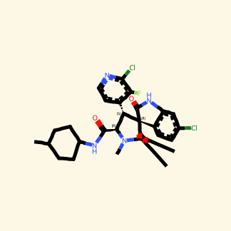 CC1CCC(NC(=O)[C@H]2[C@H](c3ccnc(Cl)c3F)[C@]3(C(=O)Nc4cc(Cl)ccc43)C3(CCC(C)(C)CC3)N2C)CC1